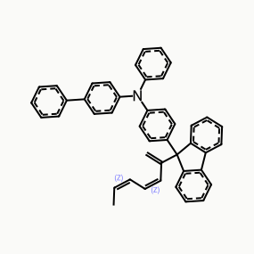 C=C(/C=C\C=C/C)C1(c2ccc(N(c3ccccc3)c3ccc(-c4ccccc4)cc3)cc2)c2ccccc2-c2ccccc21